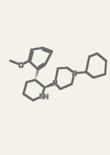 COc1ccccc1[C@H]1CCCN[C@@H]1N1CCN(C2CCCCC2)CC1